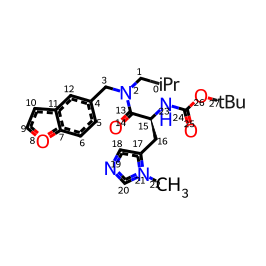 CC(C)CN(Cc1ccc2occc2c1)C(=O)[C@H](Cc1cncn1C)NC(=O)OC(C)(C)C